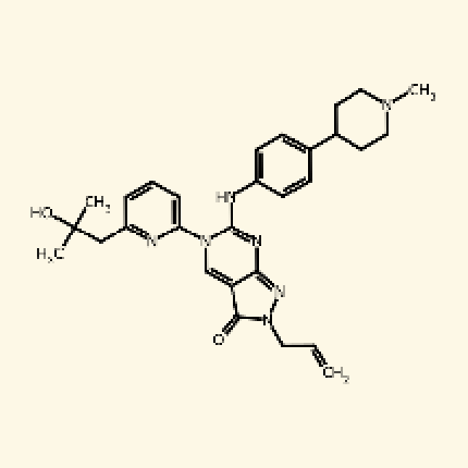 C=CCn1nc2nc(Nc3ccc(C4CCN(C)CC4)cc3)n(-c3cccc(CC(C)(C)O)n3)cc-2c1=O